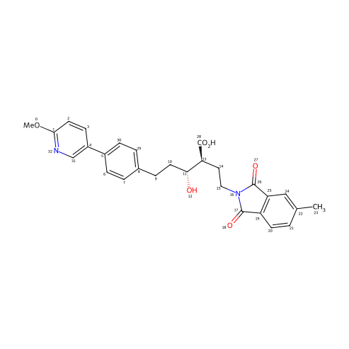 COc1ccc(-c2ccc(CC[C@@H](O)[C@H](CCN3C(=O)c4ccc(C)cc4C3=O)C(=O)O)cc2)cn1